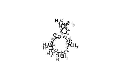 Cc1nc2cc([C@@H]3C[C@@H]4O[C@]4(C)CCC[C@H](C)[C@H](O)[C@@H](C)C(=O)C(C)(C)CCC(=O)O3)ccc2n1C